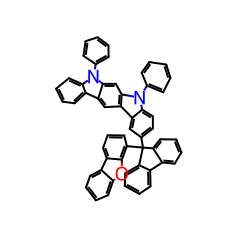 c1ccc(-n2c3ccccc3c3cc4c5cc(C6(c7cccc8c7oc7ccccc78)c7ccccc7-c7ccccc76)ccc5n(-c5ccccc5)c4cc32)cc1